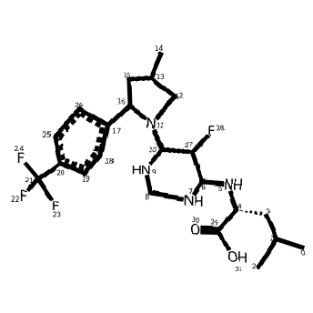 CC(C)C[C@@H](NC1NCNC(N2CC(C)CC2c2ccc(C(F)(F)F)cc2)C1F)C(=O)O